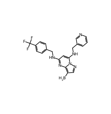 Bc1cnn2c(NCc3cccnc3)cc(NCc3ccc(C(F)(F)F)cc3)nc12